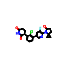 O=C1CCC(c2cccc(-c3cnc(N4C(=O)CCC45CC5)c(F)c3)c2Cl)C(=O)N1